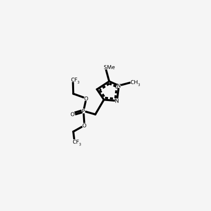 CSc1cc(CP(=O)(OCC(F)(F)F)OCC(F)(F)F)nn1C